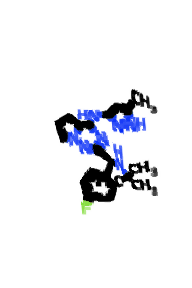 Cc1cc(Nc2nc(C(NC(C)(C)C)c3ccc(F)cc3)nn3cccc23)n[nH]1